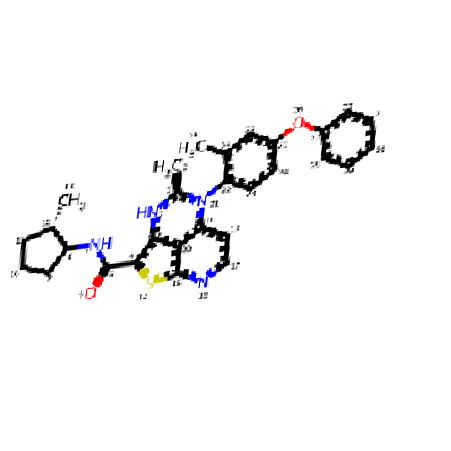 C=c1[nH]c2c(C(=O)NC3CCC[C@@H]3C)sc3nccc(c32)n1-c1ccc(Oc2ccccc2)cc1C